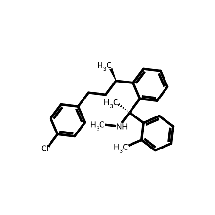 CN[C@](C)(c1ccccc1C)c1ccccc1[C@H](C)CCc1ccc(Cl)cc1